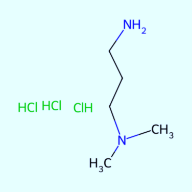 CN(C)CCCN.Cl.Cl.Cl